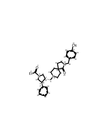 CCC(=O)N1C[C@H](CN2CCC3(CC2)CCN(Cc2ccc(C#N)cc2)C3=O)[C@@H](c2ccccc2)C1